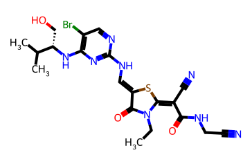 CCn1c(=C(C#N)C(=O)NCC#N)sc(=CNc2ncc(Br)c(N[C@@H](CO)C(C)C)n2)c1=O